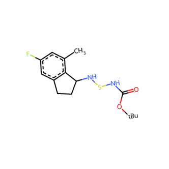 Cc1cc(F)cc2c1C(NSNC(=O)OC(C)(C)C)CC2